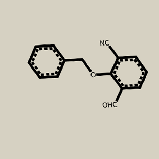 N#Cc1cccc(C=O)c1OCc1ccccc1